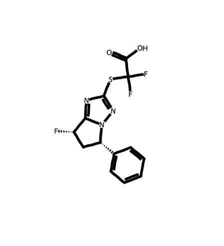 O=C(O)C(F)(F)Sc1nc2n(n1)[C@H](c1ccccc1)C[C@@H]2F